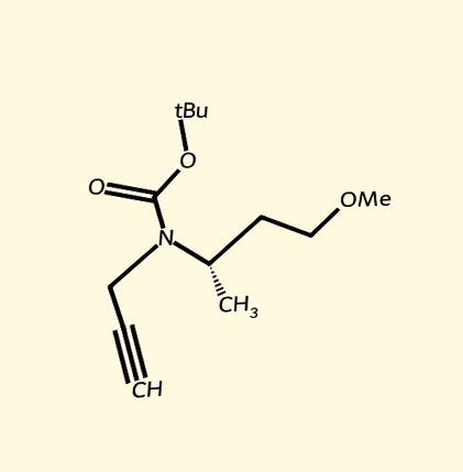 C#CCN(C(=O)OC(C)(C)C)[C@@H](C)CCOC